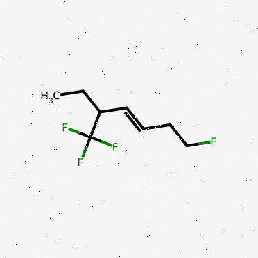 CCC(C=CCCF)C(F)(F)F